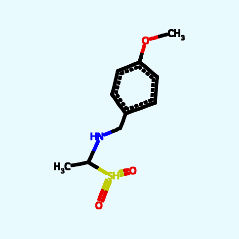 COc1ccc(CNC(C)[SH](=O)=O)cc1